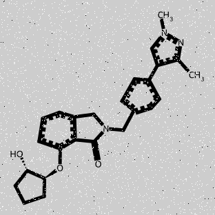 Cc1nn(C)cc1-c1ccc(CN2Cc3cccc(O[C@H]4CCC[C@@H]4O)c3C2=O)cc1